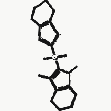 C[C]1C2=C(CCCC2)C(C)=C1[Si](C)(C)C1=CC2=C([CH]1)CCCC2